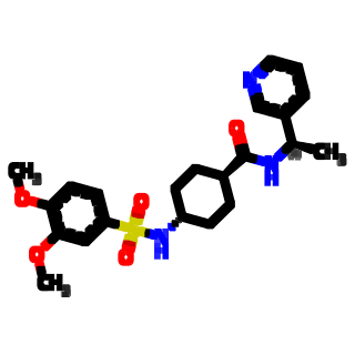 COc1ccc(S(=O)(=O)N[C@H]2CC[C@H](C(=O)N[C@H](C)c3cccnc3)CC2)cc1OC